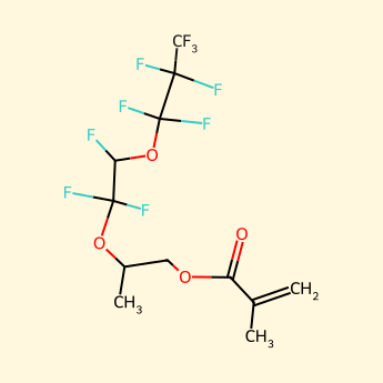 C=C(C)C(=O)OCC(C)OC(F)(F)C(F)OC(F)(F)C(F)(F)C(F)(F)F